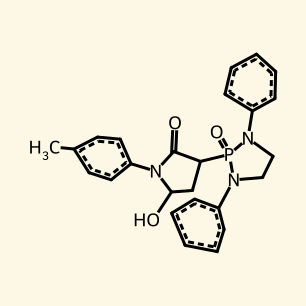 Cc1ccc(N2C(=O)C(P3(=O)N(c4ccccc4)CCN3c3ccccc3)CC2O)cc1